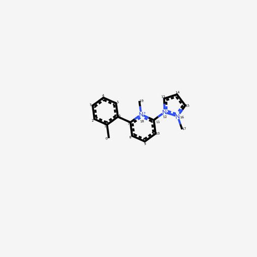 Cc1ccccc1-c1cccc(-[n+]2cccn2C)[n+]1C